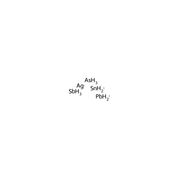 [Ag].[AsH3].[PbH2].[SbH3].[SnH2]